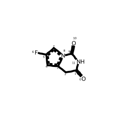 O=C1Cc2cc(F)cn2C(=O)N1